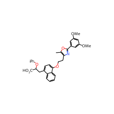 COc1cc(OC)cc(-c2nc(CCOc3ccc(CC(OC(C)C)C(=O)O)c4ccccc34)c(C)o2)c1